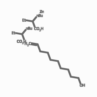 C=CCCCCCCCCO.CCCCC(CC)C(=O)O.CCCCC(CC)C(=O)O.[Zn]